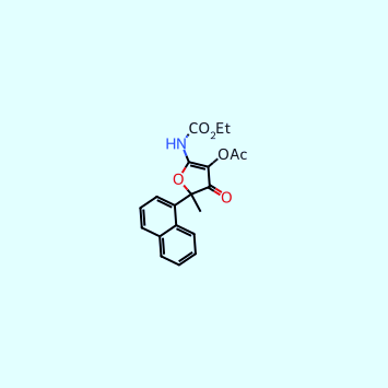 CCOC(=O)NC1=C(OC(C)=O)C(=O)C(C)(c2cccc3ccccc23)O1